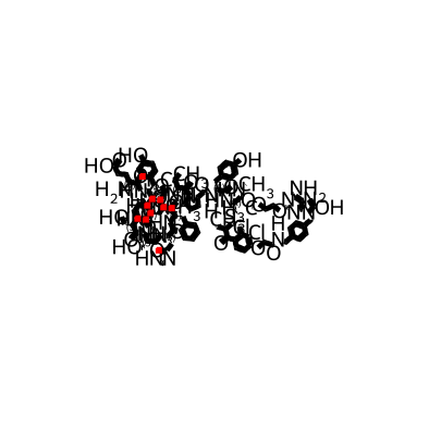 CCC(CSC[C@H](NC(=O)[C@H](Cc1ccc(O)cc1)NC(=O)C1CCCN1C(=O)[C@@H](NC(=O)[C@H](Cc1ccccc1)NC(=O)[C@H](Cc1ccccc1)NC(=O)[C@H](Cc1c[nH]cn1)NC(=O)[C@H](CO)NC(=O)[C@H](CO)NC(=O)[C@H](CC(C)C)NC(=O)[C@H](Cc1ccc(O)cc1)NC(=O)[C@@H](N)CCC(=O)O)C(C)C)C(=O)NC)C(=O)c1ccc(OCC(=O)NCc2ccc(Cn3c(O)nc4c(N)nc(OCCOC)nc43)cc2)c(Cl)c1Cl